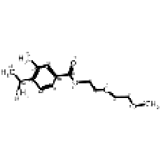 COCCOCCOC(=O)c1ccc(C(C)C)c(C)c1